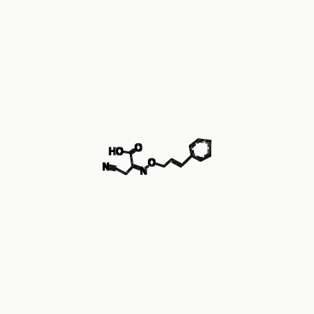 N#CCC(=NOC/C=C/c1ccccc1)C(=O)O